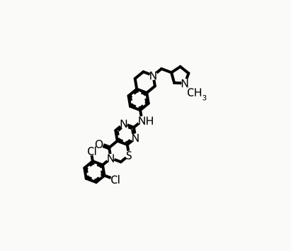 CN1CCC(CN2CCc3ccc(Nc4ncc5c(n4)SCN(c4c(Cl)cccc4Cl)C5=O)cc3C2)C1